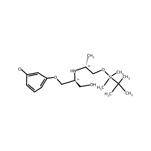 C[C@H](CO[Si](C)(C)C(C)(C)C)N[C@@H](CO)COc1cccc(Cl)c1